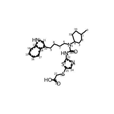 CC1CCC(N(CCCCc2c[nH]c3ccccc23)C(=O)Nc2ncc(SCC(=O)O)s2)CC1